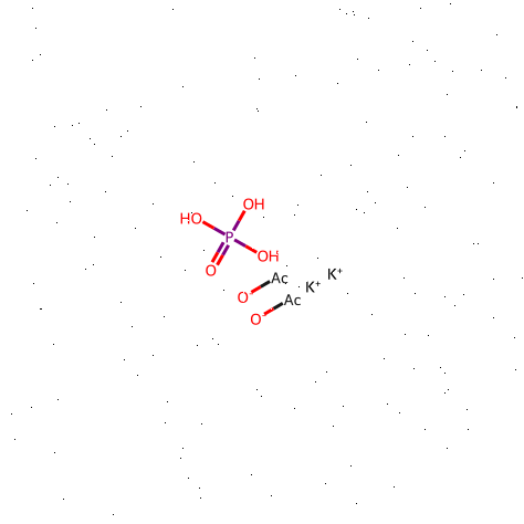 CC(=O)[O-].CC(=O)[O-].O=P(O)(O)O.[K+].[K+]